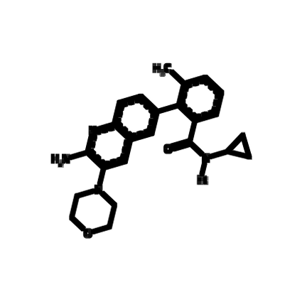 CCN(C(=O)c1cccc(C)c1-c1ccc2nc(N)c(N3CCOCC3)cc2c1)C1CC1